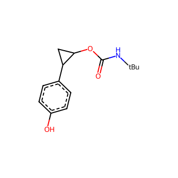 CC(C)(C)NC(=O)OC1CC1c1ccc(O)cc1